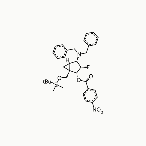 CC(C)(C)[Si](C)(C)OC[C@@]12C[C@@H]1[C@@H](N(Cc1ccccc1)Cc1ccccc1)[C@@H](F)[C@@H]2OC(=O)c1ccc([N+](=O)[O-])cc1